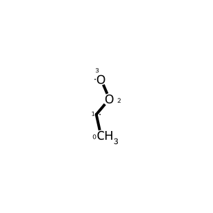 C[CH]O[O]